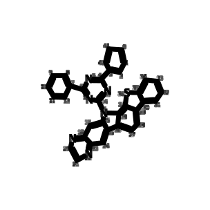 c1ccc(-c2nc(-c3ccccc3)nc(-n3c4cc5nccnc5cc4c4ccc5c6ccccc6sc5c43)n2)cc1